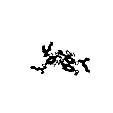 C=C(/N=C(\N=C(/N)c1ccc(OC)cc1)c1ccc(OCC(CC)CCCC)cc1OCC(CC)CCCC)c1ccc(OCC(CC)CCCC)cc1O